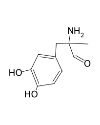 CC(N)(C=O)Cc1ccc(O)c(O)c1